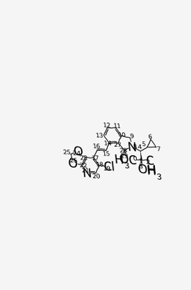 CC(C)(O)[C@H](C1CC1)N1Cc2cccc(/C=C/c3c(Cl)cnc4c3OCO4)c2C1=O